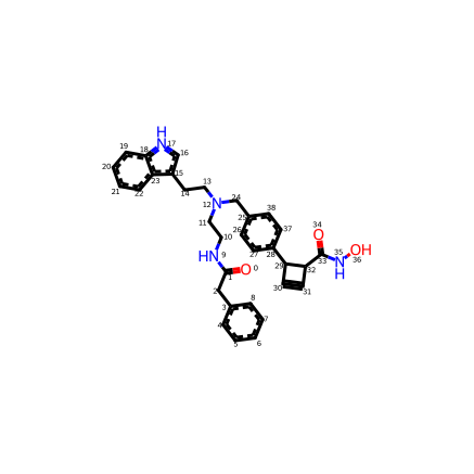 O=C(Cc1ccccc1)NCCN(CCc1c[nH]c2ccccc12)Cc1ccc(C2C#CC2C(=O)NO)cc1